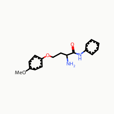 COc1ccc(OCCC(N)C(=O)Nc2ccccc2)cc1